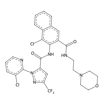 O=C(NCCN1CCOCC1)c1cc2ccccc2c(Cl)c1NC(=O)c1cc(C(F)(F)F)nn1-c1ncccc1Cl